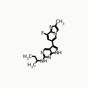 CCC(C)Nc1ncc2c(-c3cc(F)c4nc(C)cn4c3)c[nH]c2n1